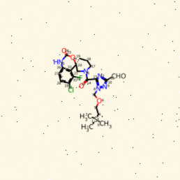 C[Si](C)(C)CCOCn1nc(C=O)nc1C(=O)N1CCC[C@@]2(C1)OC(=O)Nc1ccc(Cl)c(F)c12